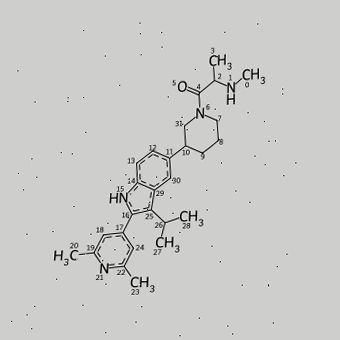 CNC(C)C(=O)N1CCCC(c2ccc3[nH]c(-c4cc(C)nc(C)c4)c(C(C)C)c3c2)C1